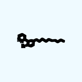 CCCCCCCCCCc1ccc(Br)c(-c2cccnn2)c1